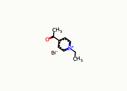 CC[n+]1ccc(C(C)=O)cc1.[Br-]